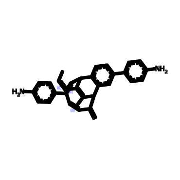 C=C1/C=C\C(c2ccc(N)cc2)=C/C2C(/C=C\C)=C(C)C1c1cc(-c3ccc(N)cc3)ccc12